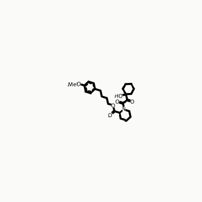 COc1ccc(CCCCOC(=O)C2CCCCN2C(=O)C(=O)C2(O)CCCCC2)cc1